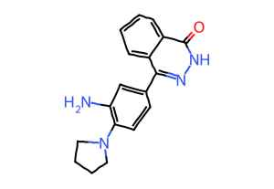 Nc1cc(-c2n[nH]c(=O)c3ccccc23)ccc1N1CCCC1